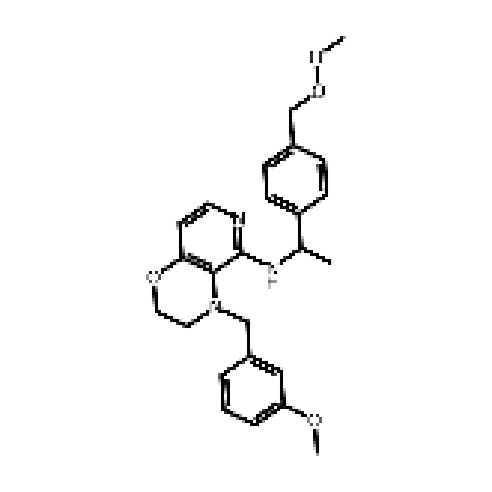 COOCc1ccc(C(C)Nc2nccc3c2N(Cc2cccc(OC)c2)CCO3)cc1